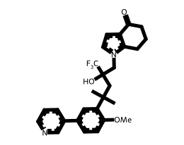 COc1ccc(-c2cccnc2)cc1C(C)(C)CC(O)(Cn1ccc2c1CCCC2=O)C(F)(F)F